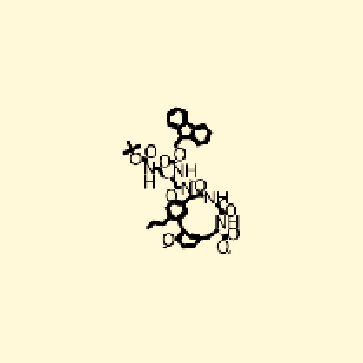 CCCc1ccc2cc1-c1cc(ccc1OC)C[C@@H](C(=O)OC)NC(=O)[C@H](C)NC(=O)[C@H]2N(C)C(=O)[C@H](CCNC(=O)OC(C)(C)C)NC(=O)OCC1c2ccccc2-c2ccccc21